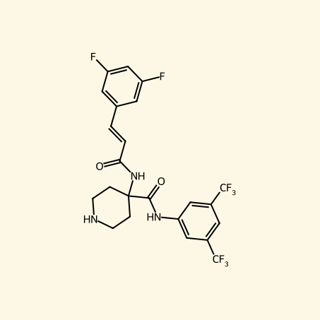 O=C(C=Cc1cc(F)cc(F)c1)NC1(C(=O)Nc2cc(C(F)(F)F)cc(C(F)(F)F)c2)CCNCC1